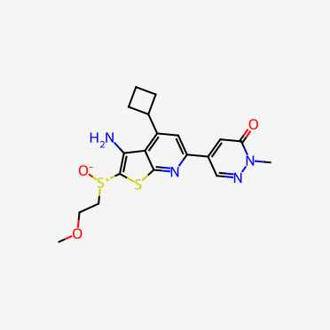 COCC[S+]([O-])c1sc2nc(-c3cnn(C)c(=O)c3)cc(C3CCC3)c2c1N